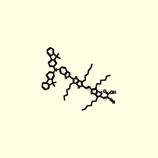 CCCCCCc1c(/C=C(/C#N)C(=O)O)sc2c(CCCCCC)c(/C=C/c3sc4c(CCCCCC)c(-c5cc6ccc(N(c7ccc8c(c7)C(C)(C)c7ccccc7-8)c7ccc8c(c7)C(C)(C)c7ccccc7-8)cc6s5)sc4c3CCCCCC)sc12